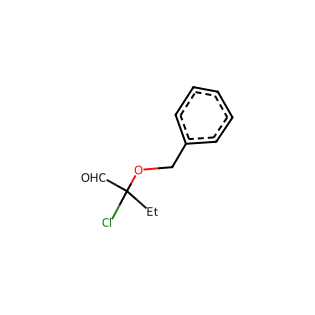 CCC(Cl)(C=O)OCc1ccccc1